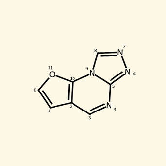 c1cc2cnc3nncn3c2o1